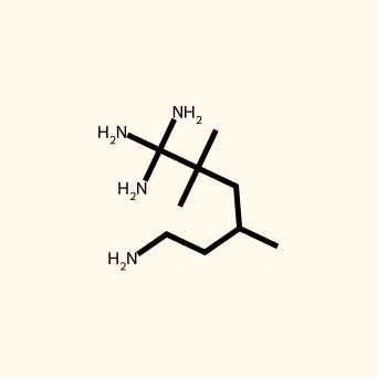 CC(CCN)CC(C)(C)C(N)(N)N